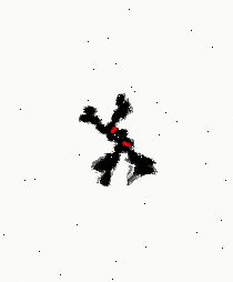 c1ccc(-c2cccc(-c3ccccc3)c2-c2cc(-c3cccc(-n4c5ccc(-c6ccc7c(c6)c6ccccc6n7-c6ccccc6)cc5c5cc(-c6ccc7c(c6)c6ccccc6n7-c6ccccc6)ccc54)c3)nc(-n3c4ccc(-c5ccc6c(c5)c5ccccc5n6-c5ccccc5)cc4c4cc(-c5ccc6c(c5)c5ccccc5n6-c5ccccc5)ccc43)n2)cc1